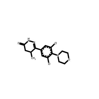 CC1CC(=O)NN=C1c1cc(Cl)c(N2CCOCC2)c(Cl)c1